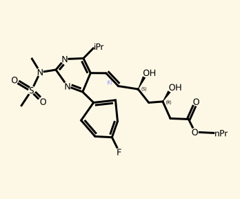 CCCOC(=O)C[C@H](O)C[C@H](O)/C=C/c1c(-c2ccc(F)cc2)nc(N(C)S(C)(=O)=O)nc1C(C)C